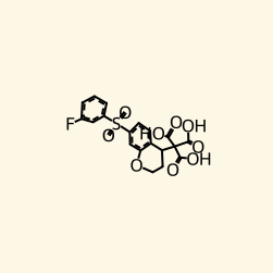 O=C(O)C(C(=O)O)(C(=O)O)C1CCOc2cc(S(=O)(=O)c3cccc(F)c3)ccc21